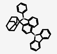 c1ccc(B(c2ccccc2)C2(c3ccc(-n4c5ccccc5c5ccccc54)cc3)C3CC4CC(C3)CC2C4)cc1